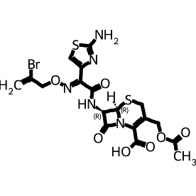 C=C(Br)CON=C(C(=O)N[C@@H]1C(=O)N2C(C(=O)O)=C(COC(C)=O)CS[C@H]12)c1csc(N)n1